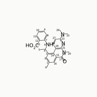 Cc1cc(C(C)Nc2ccccc2C(=O)O)c2c(c1)c(=O)n(C)c1nc(N(C)C)ccc21